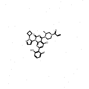 C=CC(=O)N1CCN(c2nc(=O)n(-c3ccnn3C3CCC3)c3nc(-c4c(O)cccc4F)cc(Cl)c23)[C@@H](C)C1